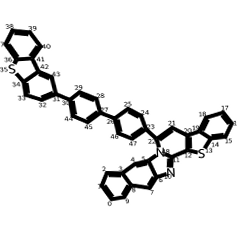 c1ccc2cc3c(cc2c1)nc1c2sc4ccccc4c2cc(-c2ccc(-c4ccc(-c5ccc6sc7ccccc7c6c5)cc4)cc2)n31